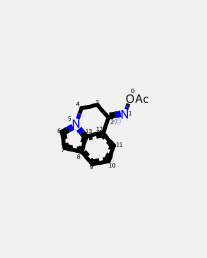 CC(=O)O/N=C1\CCn2ccc3cccc1c32